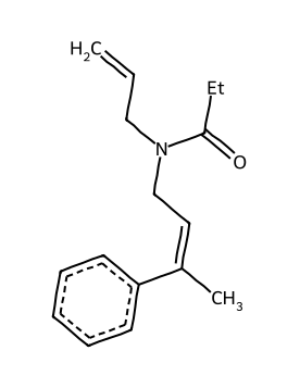 C=CCN(C/C=C(/C)c1ccccc1)C(=O)CC